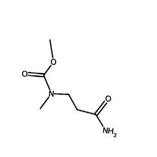 COC(=O)N(C)CCC(N)=O